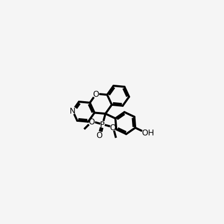 COP(=O)(OC)C1(c2ccc(O)cc2)c2ccccc2Oc2cnccc21